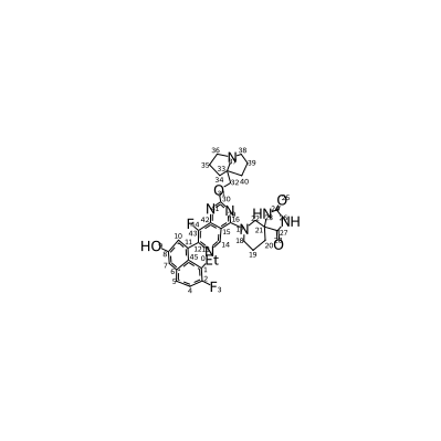 CCc1c(F)ccc2cc(O)cc(-c3ncc4c(N5CCCC6(C5)NC(=O)NC6=O)nc(OCC56CCCN5CCC6)nc4c3F)c12